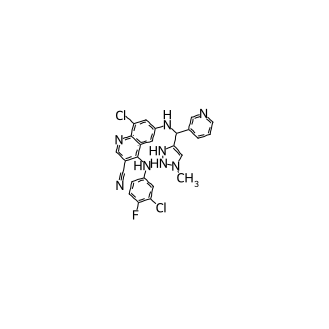 CN1C=C(C(Nc2cc(Cl)c3ncc(C#N)c(Nc4ccc(F)c(Cl)c4)c3c2)c2cccnc2)NN1